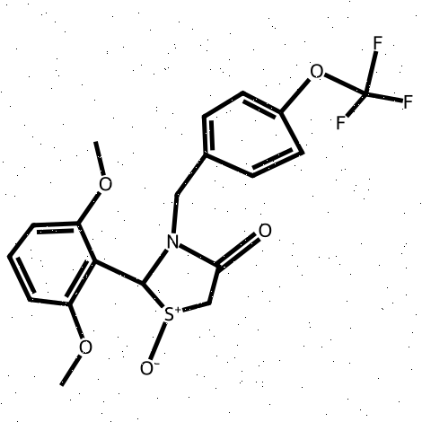 COc1cccc(OC)c1C1N(Cc2ccc(OC(F)(F)F)cc2)C(=O)C[S+]1[O-]